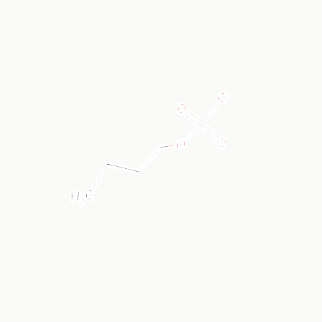 CCCCOS([O])(=O)=O